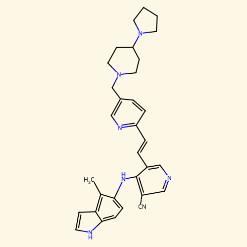 Cc1c(Nc2c(C#N)cncc2C=Cc2ccc(CN3CCC(N4CCCC4)CC3)cn2)ccc2[nH]ccc12